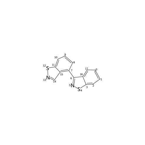 [c]1ccc2snc(-c3cccc4sncc34)c2c1